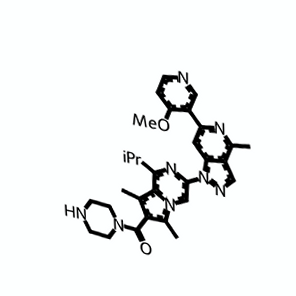 COc1ccncc1-c1cc2c(cnn2-c2cn3c(C)c(C(=O)N4CCNCC4)c(C)c3c(C(C)C)n2)c(C)n1